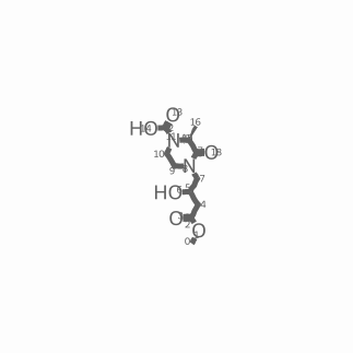 COC(=O)CC(O)CN1CCN(C(=O)O)[C@@H](C)C1=O